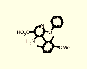 COc1ccc(C)c(-c2c(Oc3ccccc3)ncc(C(=O)O)c2N)c1C